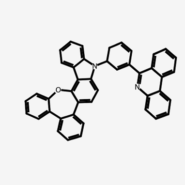 C1=CC(c2nc3ccccc3c3ccccc23)=CC(n2c3ccccc3c3c4c(ccc32)-c2ccccc2-c2ccccc2O4)C1